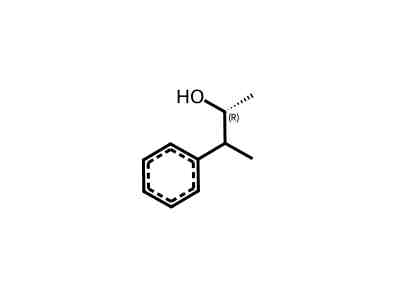 CC(c1ccccc1)[C@@H](C)O